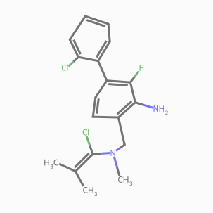 CC(C)=C(Cl)N(C)Cc1ccc(-c2ccccc2Cl)c(F)c1N